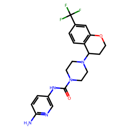 Nc1ccc(NC(=O)N2CCN(C3CCOc4cc(C(F)(F)F)ccc43)CC2)cn1